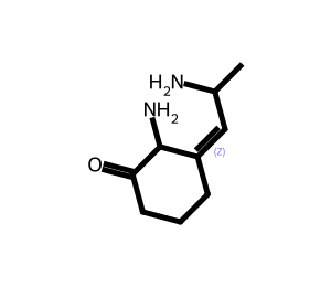 CC(N)/C=C1/CCCC(=O)C1N